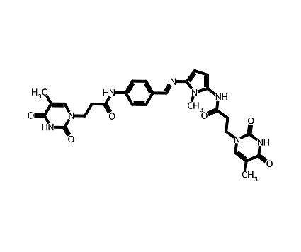 Cc1cn(CCC(=O)Nc2ccc(/C=N/c3ccc(NC(=O)CCn4cc(C)c(=O)[nH]c4=O)n3C)cc2)c(=O)[nH]c1=O